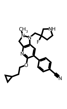 CN1Cc2nc(OCCC3CC3)c(-c3ccc(C#N)cc3)cc2N1CC1(F)CCNC1